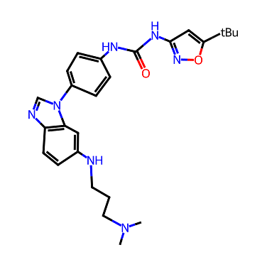 CN(C)CCCNc1ccc2ncn(-c3ccc(NC(=O)Nc4cc(C(C)(C)C)on4)cc3)c2c1